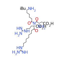 CCC(C)[C@H](N)CCCCC(=O)N(C(=O)[C@@H](N)CC(=O)O)[C@@](CCCNC(=N)N)(C(=O)O)C(=O)CCCCCCCCNC(=N)N